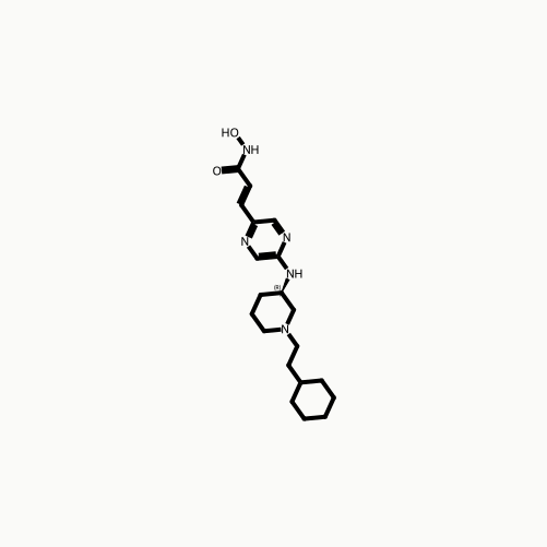 O=C(C=Cc1cnc(N[C@@H]2CCCN(CCC3CCCCC3)C2)cn1)NO